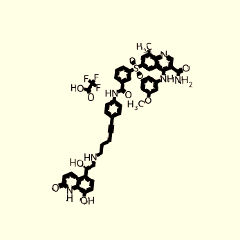 COc1cccc(Nc2c(C(N)=O)cnc3c(C)cc(S(=O)(=O)c4cccc(C(=O)Nc5ccc(C#CCCCNC[C@H](O)c6ccc(O)c7[nH]c(=O)ccc67)cc5)c4)cc23)c1.O=C(O)C(F)(F)F